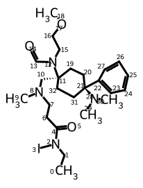 CCN(I)C(=O)CCN(C)C[C@]1(N(C=O)CCOC)CC[C@@](c2ccccc2)(N(C)C)CC1